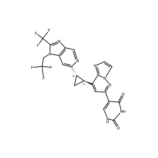 O=c1[nH]cc(-c2cc([C@H]3C[C@@H]3c3cc4c(cn3)nc(C(F)(F)F)n4CC(F)(F)F)c3nccn3n2)c(=O)[nH]1